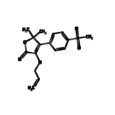 C=CCOC1=C(c2ccc(S(C)(=O)=O)cc2)C(C)(C)OC1=O